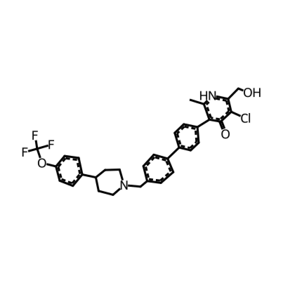 Cc1[nH]c(CO)c(Cl)c(=O)c1-c1ccc(-c2ccc(CN3CCC(c4ccc(OC(F)(F)F)cc4)CC3)cc2)cc1